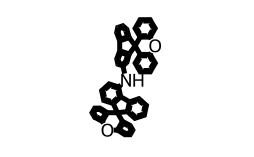 c1ccc2c(c1)Oc1ccccc1C21c2ccccc2-c2ccc(Nc3cccc4c3-c3ccccc3C43c4ccccc4Oc4ccccc43)cc21